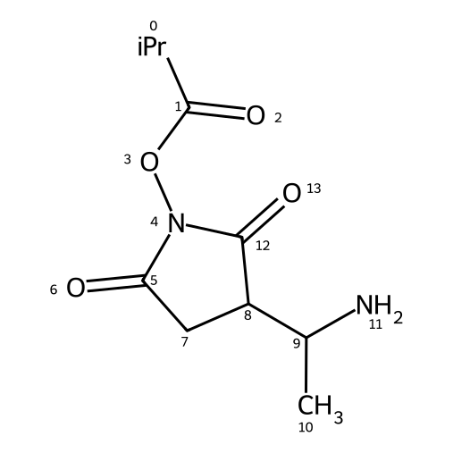 CC(C)C(=O)ON1C(=O)CC(C(C)N)C1=O